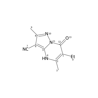 CCc1c(C)[nH]c2c(C#N)c(C)nn2c1=O